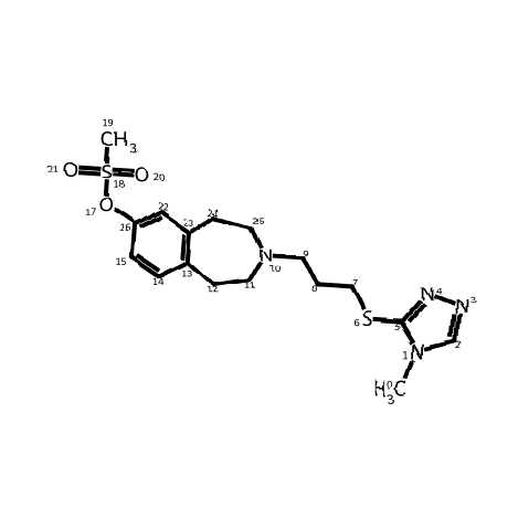 Cn1cnnc1SCCCN1CCc2ccc(OS(C)(=O)=O)cc2CC1